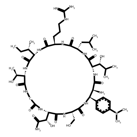 CC[C@H](C)[C@@H]1NC(=O)[C@@H](CCCNC(=N)N)NC(=O)[C@H](CC(C)C)NC(=O)[C@H]([C@H](O)C(C)C)NC(=O)[C@@H](N)[C@@H](c2ccc(N(C)C)cc2)NC(=O)[C@H](CO)NC(=O)[C@H]([C@H](O)C(N)=O)NC(=O)CNC(=O)[C@H]([C@H](C)O)NC1=O